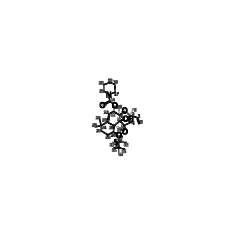 C=C[C@@]1(C)CC(=O)[C@@]2(O)[C@](C)(O1)[C@@H](OC(=O)N1CCCCC1)C=C1C(C)(C)CC[C@H](O[Si](C)(C)C(C)(C)C)[C@@]12C